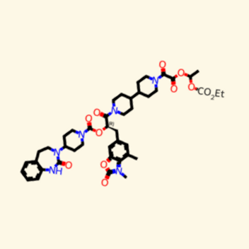 CCOC(=O)OC(C)OC(=O)C(=O)N1CCC(C2CCN(C(=O)[C@@H](Cc3cc(C)c4c(c3)oc(=O)n4C)OC(=O)N3CCC(N4CCc5ccccc5NC4=O)CC3)CC2)CC1